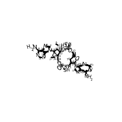 CC[C@H]1[C@H](n2cnc3c(N)ncnc32)O[C@]2(CC)CO[P@@](=O)(S)O[C@@H]3C[C@@H](CO[P@@](=O)(S)O[C@@H]12)O[C@H]3n1cnc2c(N)ncnc21